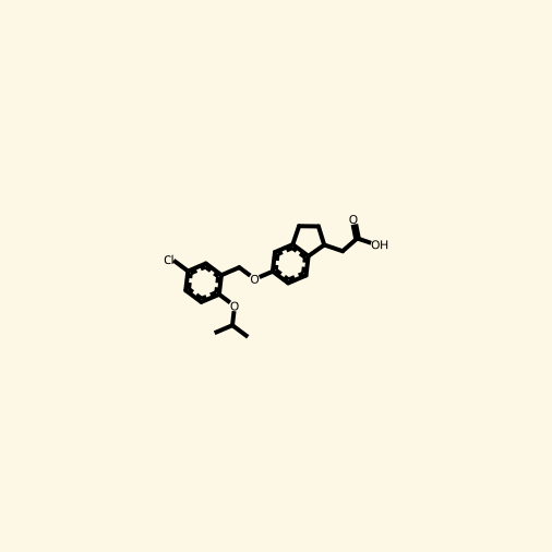 CC(C)Oc1ccc(Cl)cc1COc1ccc2c(c1)CCC2CC(=O)O